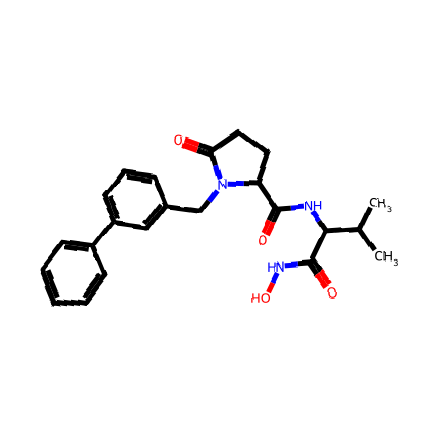 CC(C)C(NC(=O)C1CCC(=O)N1Cc1cccc(-c2ccccc2)c1)C(=O)NO